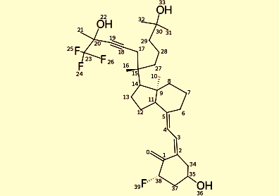 C=C1/C(=C\C=C2/CCC[C@@]3(C)C2CCC3[C@](C)(CC#CC(C)(O)C(F)(F)F)CCCC(C)(C)O)CC(O)C[C@@H]1F